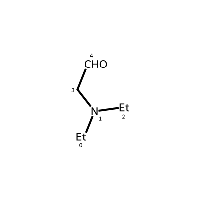 CCN(CC)CC=O